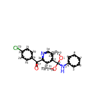 CCCOC(Nc1ccccc1)(OCCC)c1ccnc(C(=O)c2ccc(Cl)cc2)c1